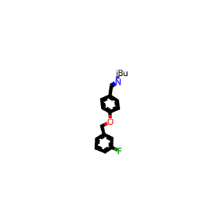 CCC(C)N=Cc1ccc(OCc2cccc(F)c2)cc1